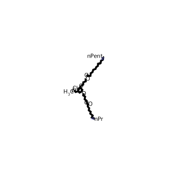 CCC/C=C\CCCCCCC(=O)OCCCCOc1cc(CN(C)C)cc(OCCCCOC(=O)CCCCCCCC=CC/C=C\CCCCC)c1